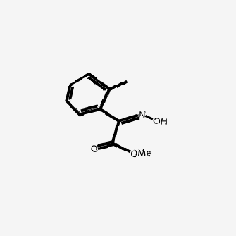 COC(=O)C(=NO)c1ccccc1C